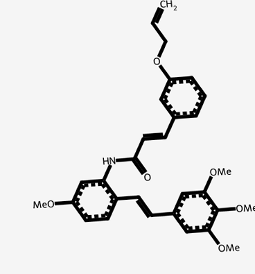 C=CCOc1cccc(/C=C/C(=O)Nc2cc(OC)ccc2C=Cc2cc(OC)c(OC)c(OC)c2)c1